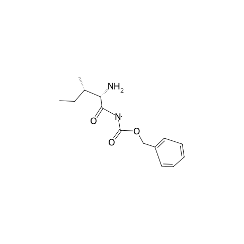 CC[C@H](C)[C@H](N)C(=O)[N]C(=O)OCc1ccccc1